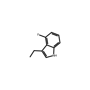 CCc1c[nH]c2cccc(F)c12